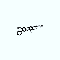 Cc1cc(OC(C)C(=O)O)c(C)c(C)c1Cc1ccc(O)c(C2CCCCC2)n1